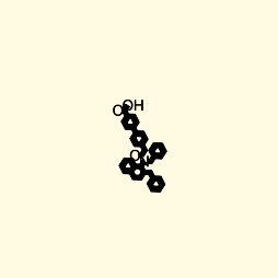 O=C(O)c1ccc(-c2ccc(CC(=O)N(Cc3ccccc3)C3c4ccccc4CCC3Cc3ccccc3)cc2)cc1